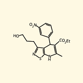 CCOC(=O)C1=C(C)Nc2snc(CCCO)c2C1c1cccc([N+](=O)[O-])c1